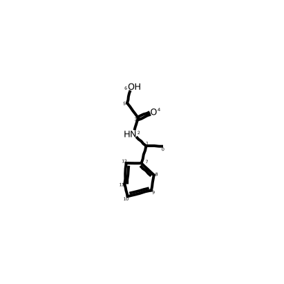 CC(NC(=O)CO)c1ccccc1